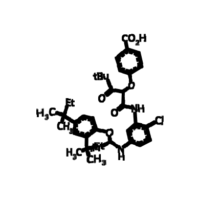 CCCC(Nc1ccc(Cl)c(NC(=O)C(Oc2ccc(C(=O)O)cc2)C(=O)C(C)(C)C)c1)Oc1ccc(C(C)(C)CC)cc1C(C)(C)CC